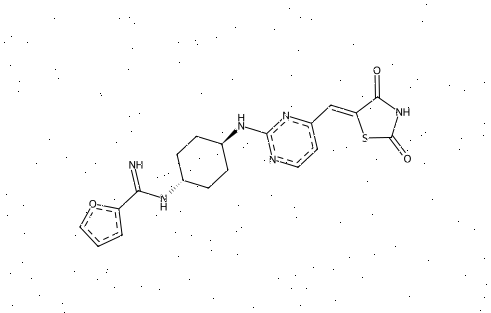 N=C(N[C@H]1CC[C@H](Nc2nccc(/C=C3\SC(=O)NC3=O)n2)CC1)c1ccco1